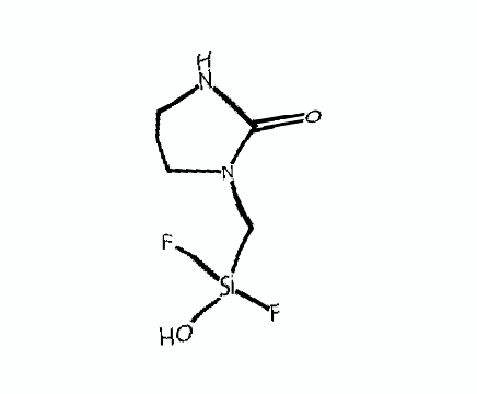 O=C1NCCN1C[Si](O)(F)F